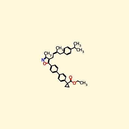 CCOC(=O)C1(c2ccc(-c3ccc(-c4onc(C)c4CC=C(C)Cc4ccc(C(C)C)cc4)cc3)cc2)CC1